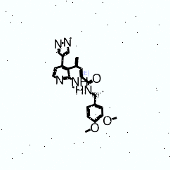 C=C(/C=C/C(=O)N[C@H](C)c1ccc(OC)c(OC)c1)c1c(-c2cnn(C)c2)ccnc1NC